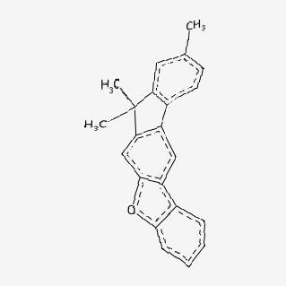 Cc1ccc2c(c1)C(C)(C)c1cc3oc4ccccc4c3cc1-2